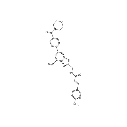 COc1cc(-c2ccc(C(=O)N3CCOCC3)cc2)cc2cc(CNC(=O)/C=C/c3ccc(N)nc3)oc12